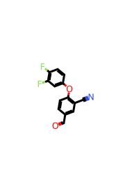 N#Cc1cc(C=O)ccc1Oc1ccc(F)c(F)c1